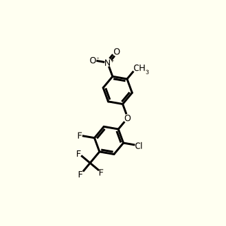 Cc1cc(Oc2cc(F)c(C(F)(F)F)cc2Cl)ccc1[N+](=O)[O-]